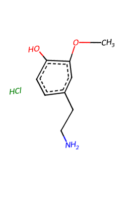 COc1cc(CCN)ccc1O.Cl